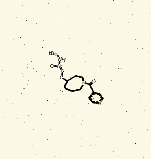 CC(C)(C)N/[N+]([O-])=N/OC1CCCN(C(=O)c2ccncc2)CC1